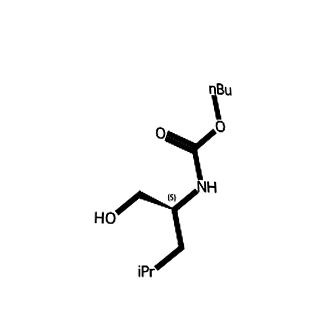 CCCCOC(=O)N[C@H](CO)CC(C)C